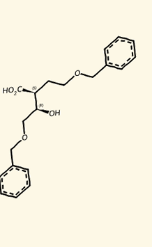 O=C(O)[C@@H](CCOCc1ccccc1)[C@@H](O)COCc1ccccc1